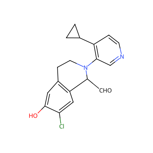 O=CC1c2cc(Cl)c(O)cc2CCN1c1cnccc1C1CC1